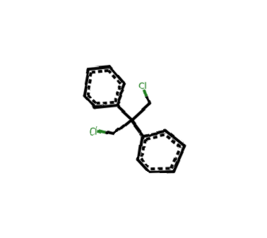 ClCC(CCl)(c1ccccc1)c1ccccc1